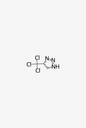 ClC(Cl)(Cl)c1c[nH]nn1